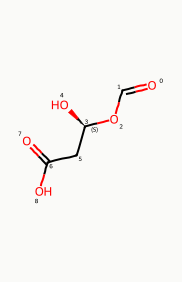 O=CO[C@H](O)CC(=O)O